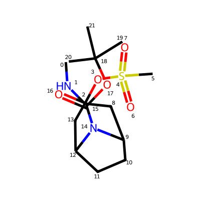 CNC1(OS(C)(=O)=O)CC2CCC(C1)N2C(=O)OC(C)(C)C